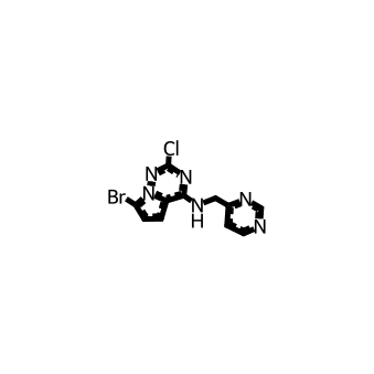 Clc1nc(NCc2ccncn2)c2ccc(Br)n2n1